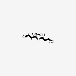 ClCCCOCCCCl.O=[N+]([O-])O